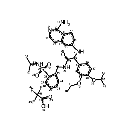 CCOc1cc(C(Nc2ccc3c(N)nccc3c2)C(=O)NCc2ccccc2S(=O)(=O)NC(C)C)ccc1OC(C)C.O=C(O)C(F)(F)F